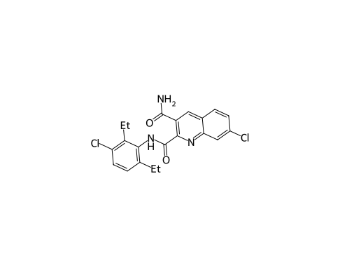 CCc1ccc(Cl)c(CC)c1NC(=O)c1nc2cc(Cl)ccc2cc1C(N)=O